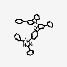 c1ccc(-c2cc(-n3c4ccccc4c4cc(-c5ccccc5)ccc43)c3oc4cc(-c5nc(-c6ccccc6)nc(-c6ccccc6)n5)ccc4c3c2)cc1